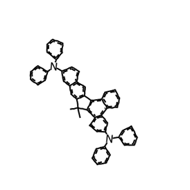 CC1(C)c2cc3cc(N(c4ccccc4)c4ccccc4)ccc3cc2-c2c1c1ccc(N(c3ccccc3)c3ccccc3)cc1c1ccccc21